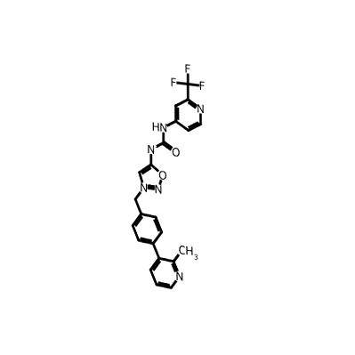 Cc1ncccc1-c1ccc(C[n+]2cc([N-]C(=O)Nc3ccnc(C(F)(F)F)c3)on2)cc1